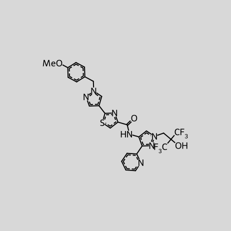 COc1ccc(Cn2cc(-c3nc(C(=O)Nc4cn(CC(O)(C(F)(F)F)C(F)(F)F)nc4-c4ccccn4)cs3)cn2)cc1